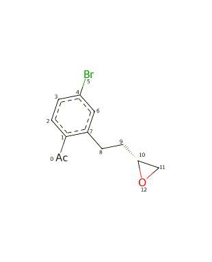 CC(=O)c1ccc(Br)cc1CC[C@@H]1CO1